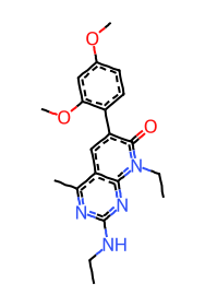 CCNc1nc(C)c2cc(-c3ccc(OC)cc3OC)c(=O)n(CC)c2n1